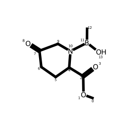 COC(=O)C1CCC(=O)CN1B(C)O